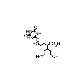 O=C(O)C(CCO)=C(CCO)CCO.O=c1[nH]c(=O)[nH]c(=O)[nH]1